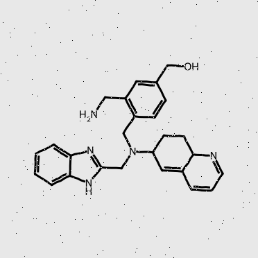 NCc1cc(CO)ccc1CN(Cc1nc2ccccc2[nH]1)C1C=C2C=CC=NC2CC1